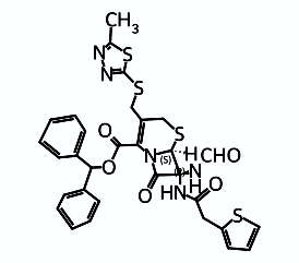 Cc1nnc(SCC2=C(C(=O)OC(c3ccccc3)c3ccccc3)N3C(=O)[C@@](NC=O)(NC(=O)Cc4cccs4)[C@@H]3SC2)s1